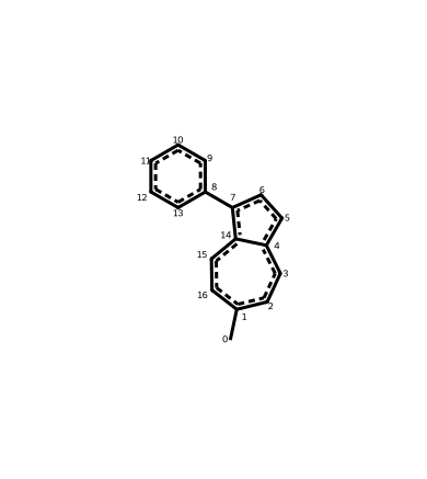 Cc1ccc2ccc(-c3ccccc3)c-2cc1